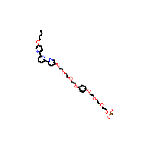 C=CCCOc1ccc(-c2cccc(-c3ccc(OCCOCCOCCOc4ccc(OCCOCCOCCOS(C)(=O)=O)cc4)cn3)n2)nc1